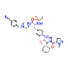 CCC(=O)NC(Cc1ccc(NC(=O)[C@@H](NC(=O)c2ccnn2C)C2CCCCC2)cc1)C(=O)N1CCN(Cc2ccc(C#N)cc2)CC1